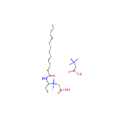 CCCCCCCCCCCC(=O)NC(CC)[N+](C)(C)CC(=O)O.C[N+](C)(C)CC(=O)O